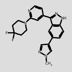 Cn1cc(-c2ccc3[nH]nc(-c4ccnc(N5CCC(F)(F)CC5)c4)c3c2)cn1